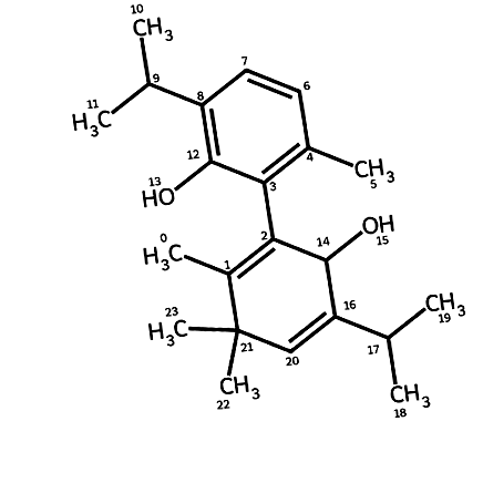 CC1=C(c2c(C)ccc(C(C)C)c2O)C(O)C(C(C)C)=CC1(C)C